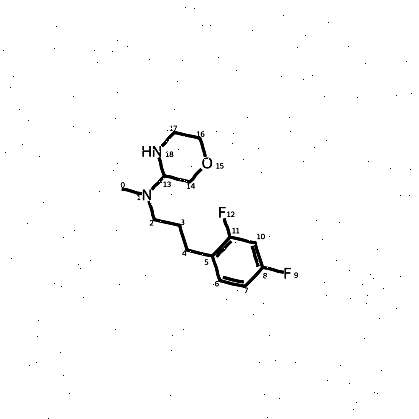 CN(CCCc1ccc(F)cc1F)C1COCCN1